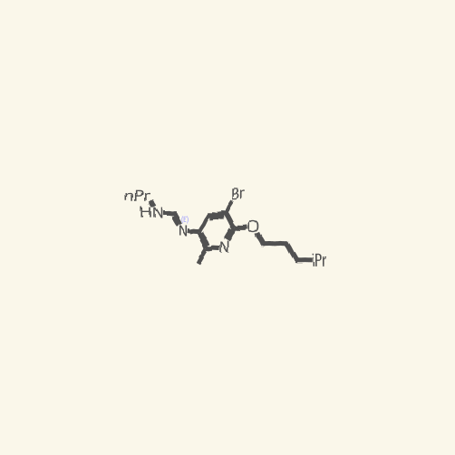 CCCN/C=N/c1cc(Br)c(OCCCC(C)C)nc1C